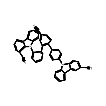 N#Cc1ccc(-c2ccc(-n3c4ccccc4c4cc(C#N)ccc43)cc2)c(-c2ccccc2-n2c3ccccc3c3cccc(C#N)c32)c1